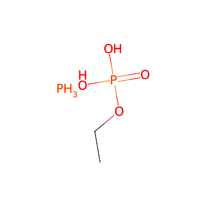 CCOP(=O)(O)O.P